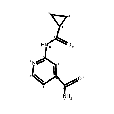 NC(=O)c1ccnc(NC(=O)C2CC2)c1